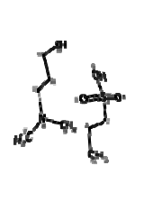 CCCS(=O)(=O)O.CN(C)CCCS